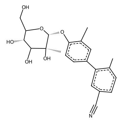 Cc1cc(-c2cc(C#N)ccc2C)ccc1O[C@H]1OC(CO)[C@@H](O)C(O)[C@]1(C)O